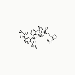 COc1c(Nc2cc(NC(=O)C3CC3)nnc2C(N)=O)cccc1-c1ncc(C(=O)NCCC2CCCN2C)o1